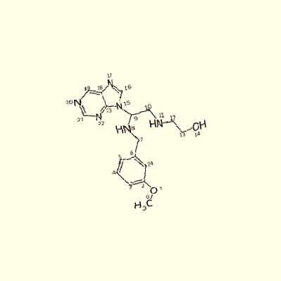 COc1cccc(CNC(CNCCO)n2cnc3cncnc32)c1